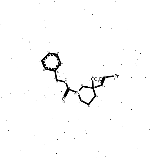 CCOC(=O)C1(/C=C/C(C)C)CCCN(C(=O)OCc2ccccc2)C1